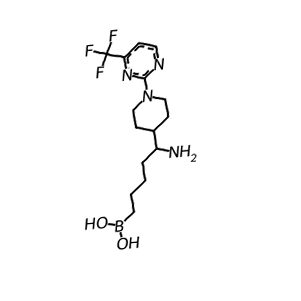 NC(CCCCB(O)O)C1CCN(c2nccc(C(F)(F)F)n2)CC1